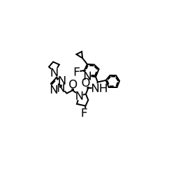 O=C(NC(c1ccccc1)c1ccc(C2CC2)c(F)n1)C1CC(F)CN1C(=O)Cn1ncc(N2CCC2)n1